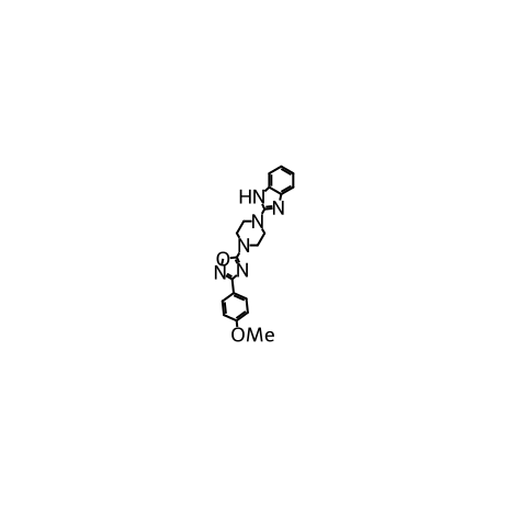 COc1ccc(-c2noc(N3CCN(c4nc5ccccc5[nH]4)CC3)n2)cc1